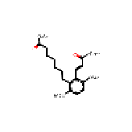 CCCCCC(=O)C=Cc1c(OC)ccc(OC)c1CCCCCCC(=O)OC